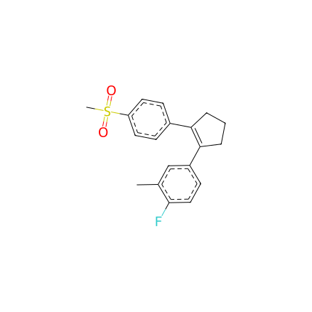 Cc1cc(C2=C(c3ccc(S(C)(=O)=O)cc3)CCC2)ccc1F